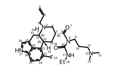 C=CCN1C[C@H](C(=O)N(CCCN(C)C)C(=O)NCC)C[C@@H]2c3c(F)ccc4[nH]cc(c34)C[C@H]21